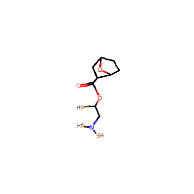 O=C(OC(S)CN(S)S)C1CC2CCC1O2